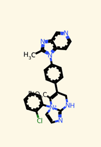 CCOC(=O)C1=C(c2ccc(-n3c(C)nc4cnccc43)cc2)CNC2=NC=C[N+]21c1ccccc1Cl